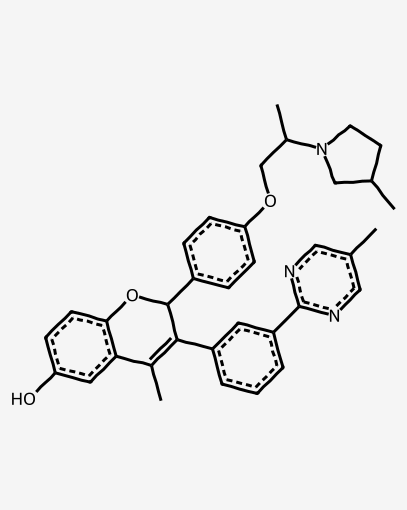 CC1=C(c2cccc(-c3ncc(C)cn3)c2)C(c2ccc(OCC(C)N3CCC(C)C3)cc2)Oc2ccc(O)cc21